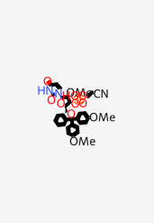 COc1ccc(C(OC[C@H]2O[C@@H](n3ccc(=O)[nH]c3=O)[C@H](OC)[C@@H]2OP(=O)(O)OCCC#N)(c2ccccc2)c2ccc(OC)cc2)cc1